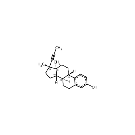 CC#C[C@@]1(C)CC[C@H]2[C@@H]3CCc4cc(O)ccc4[C@H]3CC[C@@]21C